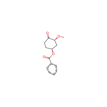 CO[C@H]1C[C@@H](OC(=O)c2ccccc2)CCC1=O